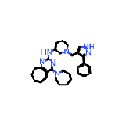 c1ccc(-c2n[nH]cc2CN2CCCC(Nc3nc4c(c(N5CCCCCC5)n3)CCCCC4)C2)cc1